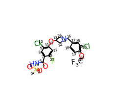 CS(=O)(=O)NC(=O)c1cc(Cl)c(OC2CN(Cc3ccc(OC(F)(F)F)c(Cl)c3)C2)cc1F